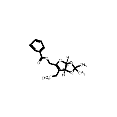 CCOC(=O)CC1=C(COC(=O)c2ccccc2)O[C@@H]2OC(C)(C)O[C@H]12